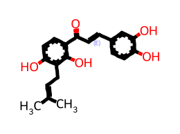 CC(C)=CCc1c(O)ccc(C(=O)/C=C/c2ccc(O)c(O)c2)c1O